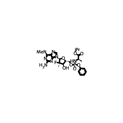 CNc1nc(N)nc2c1ncn2[C@@H]1O[C@H](CO[P@](=O)(N[C@H](C)C(=O)OC(C)C)Oc2ccccc2)[C@@H](O)[C@@]1(C)F